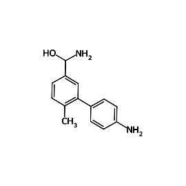 Cc1ccc(C(N)O)cc1-c1ccc(N)cc1